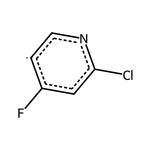 Fc1[c]cnc(Cl)c1